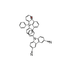 N#Cc1ccc2c(c1)c1cc(C#N)ccc1n2-c1cccc(-c2cccc(C#N)c2[Si](c2ccccc2)(c2ccccc2)c2ccccc2)c1